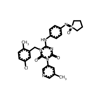 Cc1cncc(-n2c(=O)nc(Nc3ccc(N=S4(=O)CCCC4)cc3)n(Cc3cc(Cl)ccc3C)c2=O)c1